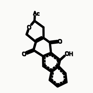 CC(=O)C1CC2=C(CO1)C(=O)c1cc3ccccc3c(O)c1C2=O